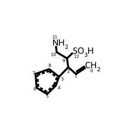 C=CC(c1ccccc1)C(CN)S(=O)(=O)O